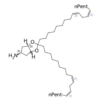 CCCCC/C=C\C/C=C\CCCCCCCCC1(CCCCCCCC/C=C\C/C=C\CCCCC)O[C@H]2C[C@H](N)C[C@H]2O1